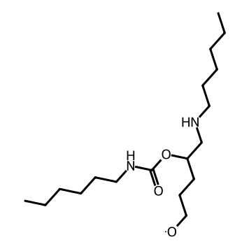 CCCCCCNCC(CCC[O])OC(=O)NCCCCCC